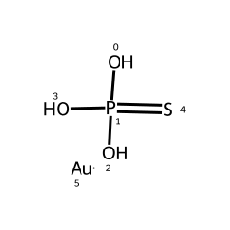 OP(O)(O)=S.[Au]